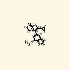 Cc1cc(C2=C(C3CC3)SC3=NCCN32)cc2ccsc12